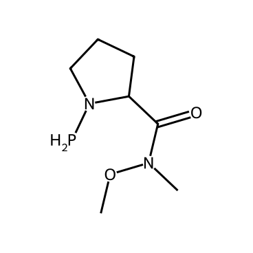 CON(C)C(=O)C1CCCN1P